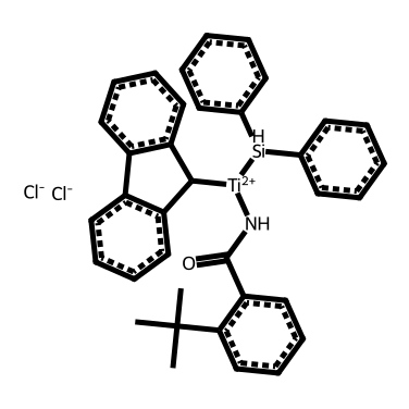 CC(C)(C)c1ccccc1C(=O)[NH][Ti+2]([CH]1c2ccccc2-c2ccccc21)[SiH](c1ccccc1)c1ccccc1.[Cl-].[Cl-]